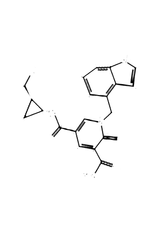 CNC(=O)c1cc(C(=O)N[C@@H]2C[C@H]2CO)cn(Cc2cccc3[nH]ccc23)c1=O